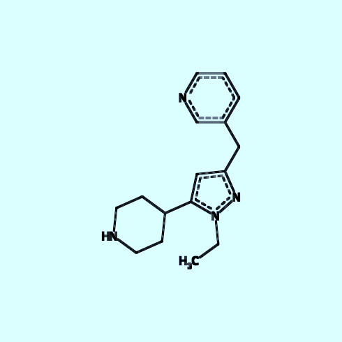 CCn1nc(Cc2cccnc2)cc1C1CCNCC1